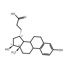 C[C@]12CCC3c4ccc(O)cc4CCC3C1[C@@H](CCC(=O)O)C[C@@H]2O